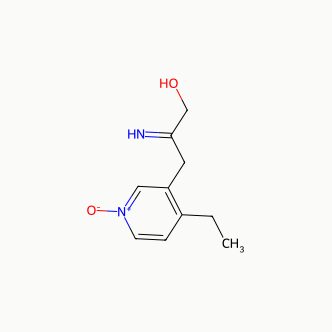 CCc1cc[n+]([O-])cc1CC(=N)CO